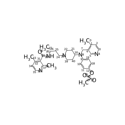 Cc1ccncc1CN(c1ccc(OS(C)(=O)=O)cc1)C1CCN(CC[C@@H](C)NC(=O)c2c(C)ccnc2C)CC1